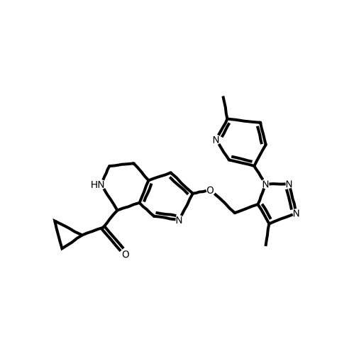 Cc1ccc(-n2nnc(C)c2COc2cc3c(cn2)C(C(=O)C2CC2)NCC3)cn1